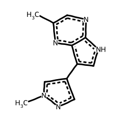 Cc1cnc2[nH]cc(-c3cnn(C)c3)c2n1